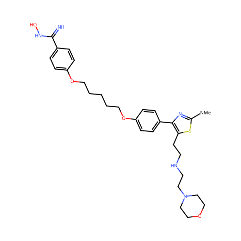 CNc1nc(-c2ccc(OCCCCCOc3ccc(C(=N)NO)cc3)cc2)c(CCNCCN2CCOCC2)s1